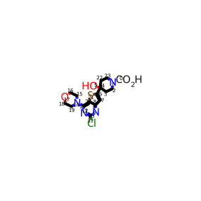 O=C(O)N1CCC(O)(c2cc3nc(Cl)nc(N4CCOCC4)c3s2)CC1